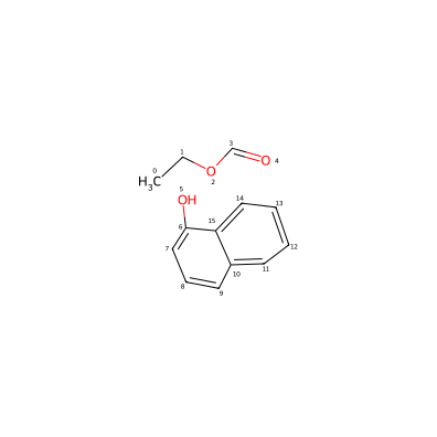 CCOC=O.Oc1cccc2ccccc12